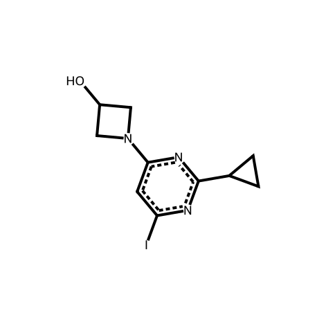 OC1CN(c2cc(I)nc(C3CC3)n2)C1